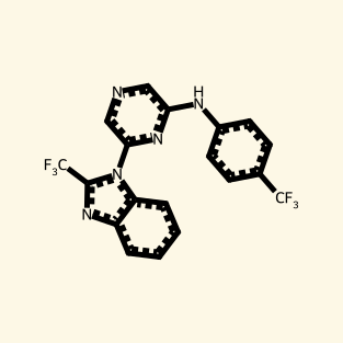 FC(F)(F)c1ccc(Nc2cncc(-n3c(C(F)(F)F)nc4ccccc43)n2)cc1